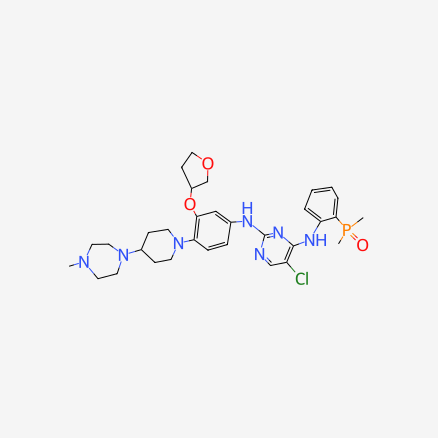 CN1CCN(C2CCN(c3ccc(Nc4ncc(Cl)c(Nc5ccccc5P(C)(C)=O)n4)cc3OC3CCOC3)CC2)CC1